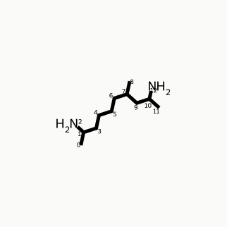 CC(N)CCCCC(C)CC(C)N